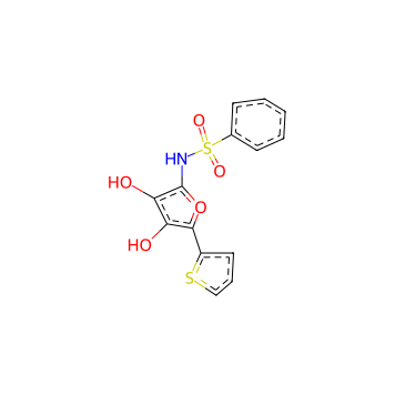 O=S(=O)(Nc1oc(-c2cccs2)c(O)c1O)c1ccccc1